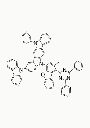 Cc1cc(-n2c3ccc(-n4c5ccccc5c5ccccc54)cc3c3cc4c(cc32)c2ccccc2n4-c2ccccc2)c2oc3ccccc3c2c1-c1nc(-c2ccccc2)nc(-c2ccccc2)n1